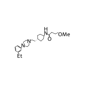 CCc1cccc(N2CCN(CC[C@H]3CC[C@H](NC(=O)CCCOC)CC3)CC2)c1